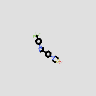 [O-][S+]1CCN(c2ccc(-c3cnn(-c4ccc(C(F)(F)F)cc4)c3)cc2)CC1